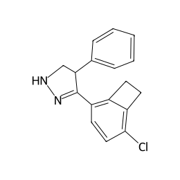 Clc1ccc(C2=NNCC2c2ccccc2)c2c1CC2